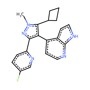 Cn1nc(-c2ccc(F)cn2)c(-c2ccnc3[nH]ccc23)c1C1CCC1